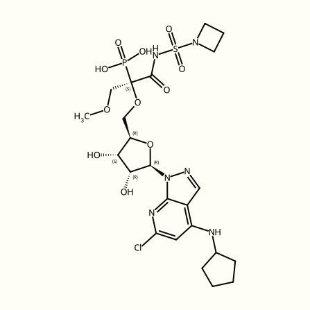 COC[C@@](OC[C@H]1O[C@@H](n2ncc3c(NC4CCCC4)cc(Cl)nc32)[C@H](O)[C@@H]1O)(C(=O)NS(=O)(=O)N1CCC1)P(=O)(O)O